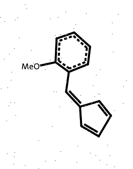 COc1ccccc1C=C1C=CC=C1